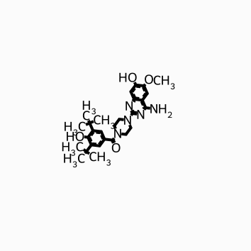 COc1cc2c(N)nc(N3CCN(C(=O)c4cc(C(C)(C)C)c(O)c(C(C)(C)C)c4)CC3)nc2cc1O